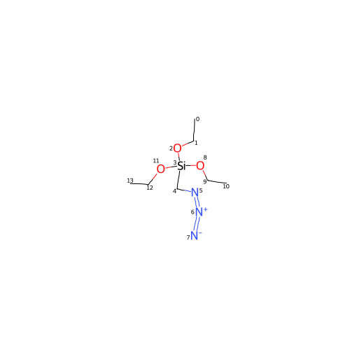 CCO[Si](CN=[N+]=[N-])(OCC)OCC